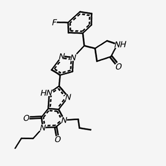 CCCn1c(=O)c2[nH]c(-c3cnn(C(c4cccc(F)c4)C4CNC(=O)C4)c3)nc2n(CCC)c1=O